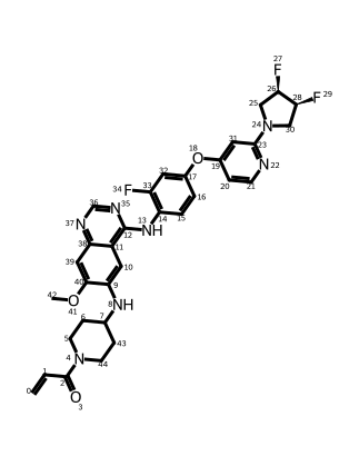 C=CC(=O)N1CCC(Nc2cc3c(Nc4ccc(Oc5ccnc(N6C[C@@H](F)[C@@H](F)C6)c5)cc4F)ncnc3cc2OC)CC1